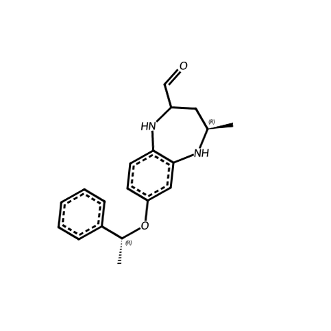 C[C@@H]1CC(C=O)Nc2ccc(O[C@H](C)c3ccccc3)cc2N1